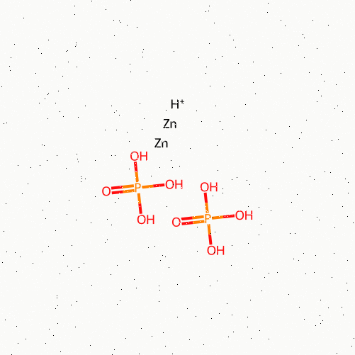 O=P(O)(O)O.O=P(O)(O)O.[H+].[Zn].[Zn]